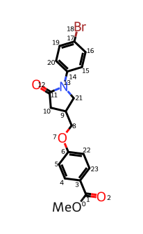 COC(=O)c1ccc(OCC2CC(=O)N(c3ccc(Br)cc3)C2)cc1